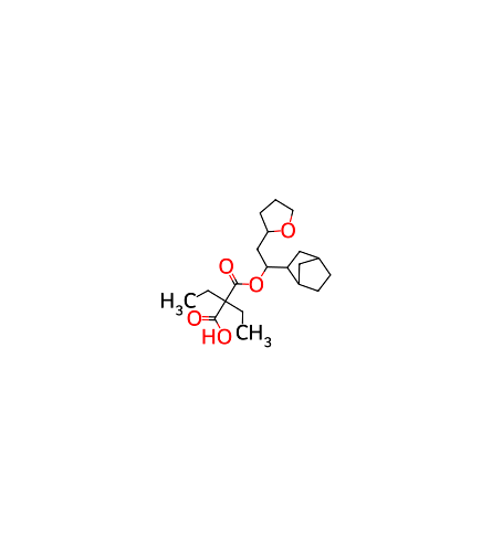 CCC(CC)(C(=O)O)C(=O)OC(CC1CCCO1)C1CC2CCC1C2